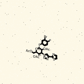 CC(=O)OCC1O[C@H](Sc2ccc(F)c(Br)c2)C(OC(C)=O)C(n2cc(-c3nccs3)nn2)[C@H]1OC(C)=O